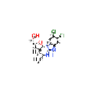 CC(C)Nc1nc2cc(Cl)c(Cl)cc2n1[C@@H]1CC[C@H](CO)O1